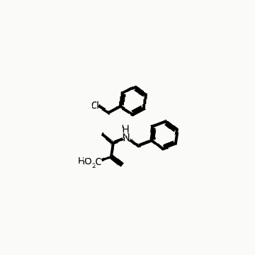 C=C(C(=O)O)C(C)NCc1ccccc1.ClCc1ccccc1